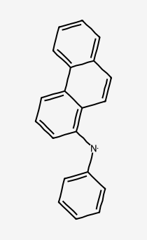 c1ccc([N]c2cccc3c2ccc2ccccc23)cc1